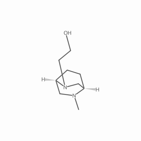 CN1C[C@H]2CC[C@@H]1CN2CCO